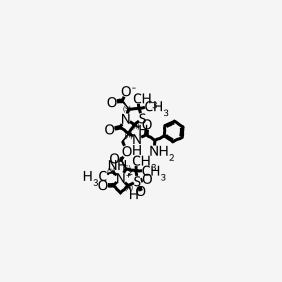 C[C@@H](N)[N+]12C(=O)C[C@H]1S(=O)(=O)C(C)(C)[C@@H]2C(=O)OC[C@@]1(NC(=O)C(N)c2ccccc2)C(=O)N2[C@@H](C(=O)[O-])C(C)(C)S[C@@H]21